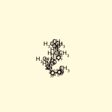 COC[C@H](NC(=O)c1cccc(C(C)(C)CNC(=O)OC(C)(C)C)c1)C(=O)Nc1nc(-c2cccc(-c3ccnc(C)c3)c2)cs1